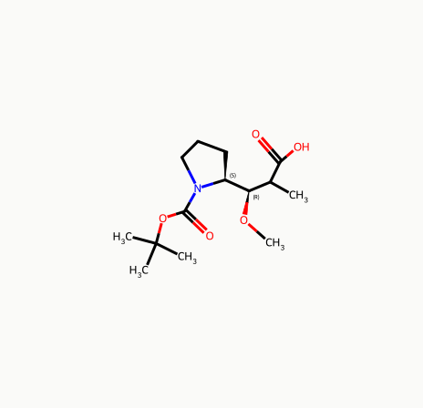 CO[C@H](C(C)C(=O)O)[C@@H]1CCCN1C(=O)OC(C)(C)C